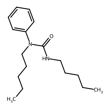 CCCCCNC(=O)N(CCCCC)c1ccccc1